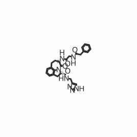 O=C(Cc1ccccc1)NCC(=O)N[C@H]1CCc2cccc3c2N(C1=O)[C@H](C(=O)NCc1c[nH]nn1)C3